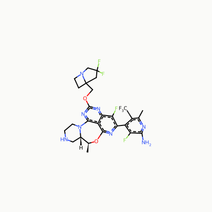 Cc1nc(N)c(F)c(-c2nc3c4c(nc(OCC56CCN5CC(F)(F)C6)nc4c2F)N2CCNC[C@H]2[C@H](C)O3)c1C(F)(F)F